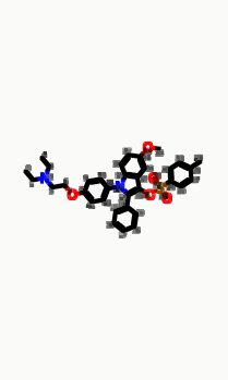 CCN(CC)CCOc1ccc(-n2c(-c3ccccc3)c(OS(=O)(=O)c3ccc(C)cc3)c3cc(OC)ccc32)cc1